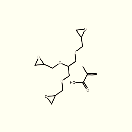 C(OCC1CO1)C(COCC1CO1)OCC1CO1.C=C(C)C(=O)O